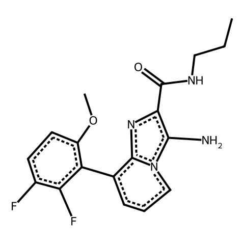 CCCNC(=O)c1nc2c(-c3c(OC)ccc(F)c3F)cccn2c1N